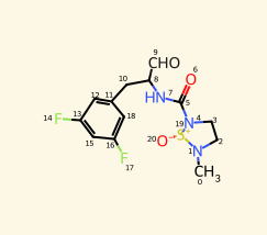 CN1CCN(C(=O)NC(C=O)Cc2cc(F)cc(F)c2)[S+]1[O-]